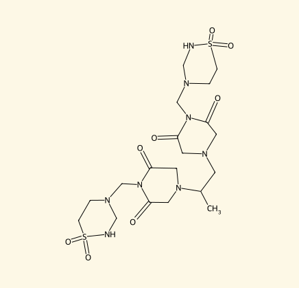 CC(CN1CC(=O)N(CN2CCS(=O)(=O)NC2)C(=O)C1)N1CC(=O)N(CN2CCS(=O)(=O)NC2)C(=O)C1